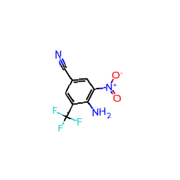 N#Cc1cc([N+](=O)[O-])c(N)c(C(F)(F)F)c1